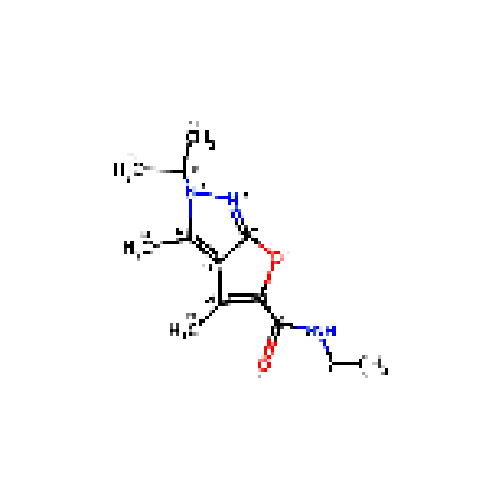 CCNC(=O)c1oc2nn(C(C)C)c(C)c2c1C